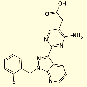 Nc1nc(-c2nn(Cc3ccccc3F)c3ncccc23)ncc1CC(=O)O